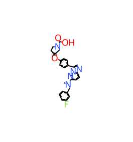 CN(Cc1cccc(F)c1)c1ccc2ncc(-c3ccc(O[C@@H]4CCN(C(=O)O)C4)cc3)n2n1